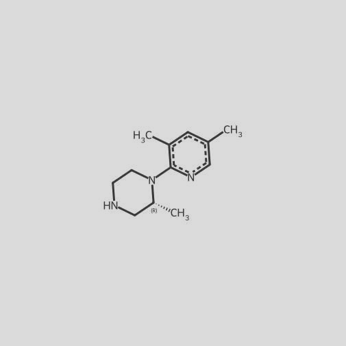 Cc1cnc(N2CCNC[C@H]2C)c(C)c1